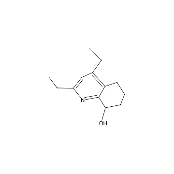 CCc1cc(CC)c2c(n1)C(O)CCC2